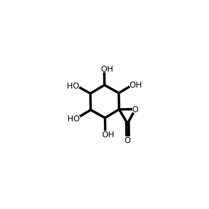 O=C1OC12C(O)C(O)C(O)C(O)C2O